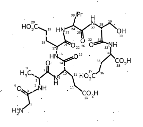 CC(NC(=O)CN)C(=O)NC(CCC(=O)O)C(=O)NC(CCC(=O)O)C(=O)NC(C(=O)NC(CO)C(=O)NC(CCC(=O)O)C(=O)O)C(C)C